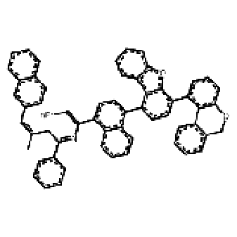 CCC/C=C(\N=C(/C/C(C)=C\c1ccc2ccccc2c1)c1ccccc1)c1ccc(-c2ccc(-c3cccc4c3-c3ccccc3CO4)c3oc4ccccc4c23)c2ccccc12